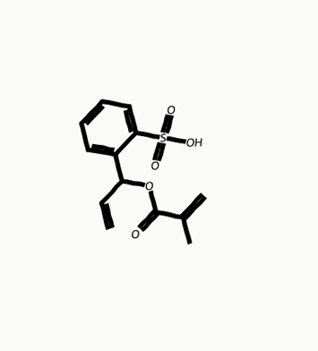 C=CC(OC(=O)C(=C)C)c1ccccc1S(=O)(=O)O